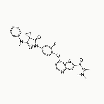 CN(C(=O)C1(C(=O)Nc2ccc(Oc3ccnc4cc(C(=O)N(C)N(C)C)sc34)c(F)c2)CC1)c1ccccc1